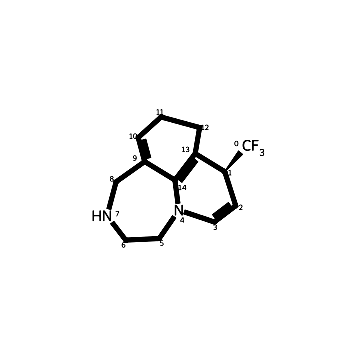 FC(F)(F)[C@H]1C=CN2CCNCC3=CCCC1=C32